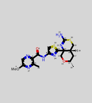 COc1cnc(C(=O)Nc2csc(C34CO[C@@H](C)C[C@H]3CSC(N)=N4)n2)c(C)n1